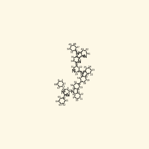 c1ccc(-c2cc(-n3c4ccccc4c4cc(-c5ccc6c7ccccc7n(-c7cncc(-c8ccc9c(n8)c8ncccc8n9-c8ccccc8)c7)c6c5)ccc43)nc(-c3ccccc3)n2)cc1